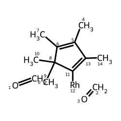 C=O.C=O.CC1=C(C)C(C)(C)[C]([Rh])=C1C